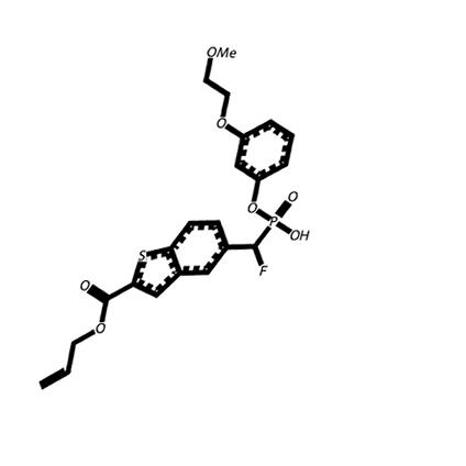 C=CCOC(=O)c1cc2cc(C(F)P(=O)(O)Oc3cccc(OCCOC)c3)ccc2s1